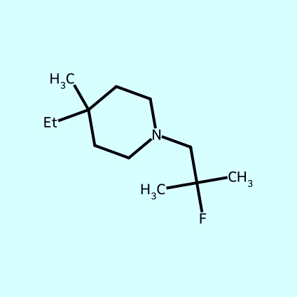 CCC1(C)CCN(CC(C)(C)F)CC1